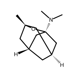 CN(C)[C@]12C[C@@H]3C[C@@H](C[C@](C)(C3)O1)C2